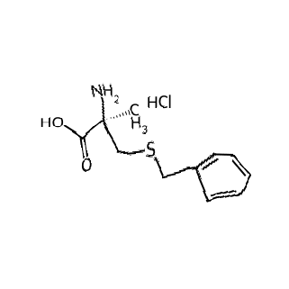 C[C@](N)(CSCc1ccccc1)C(=O)O.Cl